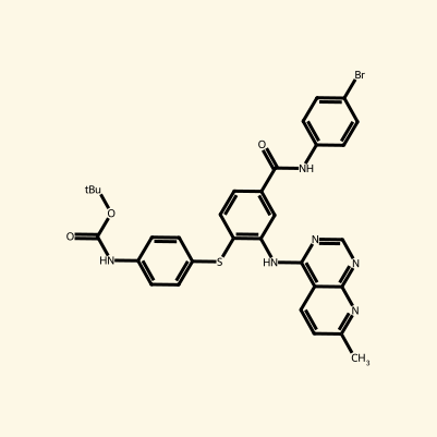 Cc1ccc2c(Nc3cc(C(=O)Nc4ccc(Br)cc4)ccc3Sc3ccc(NC(=O)OC(C)(C)C)cc3)ncnc2n1